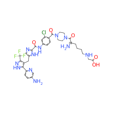 Nc1ccc(-c2[nH]nc(C(F)(F)F)c2Cc2cnc(C(=O)Nc3ccc(C(=O)N4CCN(C(=O)[C@@H](N)CCCCNCC(=O)O)CC4)c(Cl)c3)[nH]2)nc1